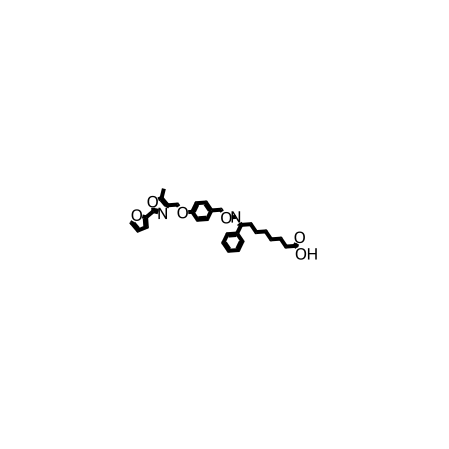 Cc1oc(-c2ccco2)nc1COc1ccc(CON=C(CCCCCCC(=O)O)c2ccccc2)cc1